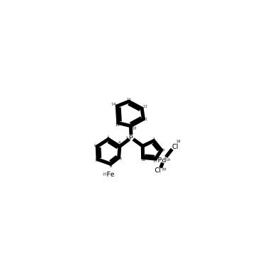 C1=CC(P(c2ccccc2)c2ccccc2)C=C1.[Cl][Pd][Cl].[Fe]